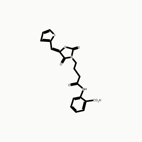 O=C(CCCN1C(=O)/C(=C/c2cccs2)SC1=S)Nc1ccccc1C(=O)O